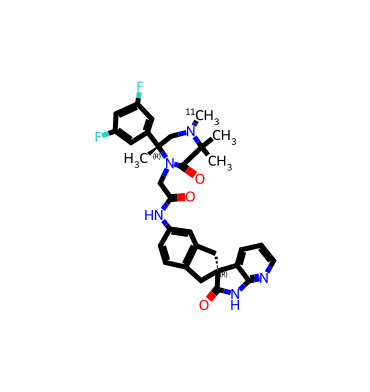 CC1(C)C(=O)N(CC(=O)Nc2ccc3c(c2)C[C@@]2(C3)C(=O)Nc3ncccc32)[C@](C)(c2cc(F)cc(F)c2)CN1[11CH3]